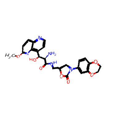 COc1ccc2nccc([C@H](O)[C@@H](N)C(=O)NCC3CN(c4ccc5c(c4)OCCO5)C(=O)O3)c2n1